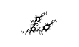 C#Cc1ccc(NC(=O)Nc2cc(NC(=O)Nc3ccc(C#C)cc3)cc(C(=O)OC)c2)cc1